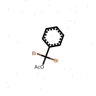 CC(=O)OC(Br)(Br)c1ccccc1